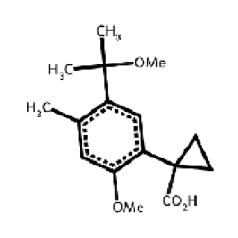 COc1cc(C)c(C(C)(C)OC)cc1C1(C(=O)O)CC1